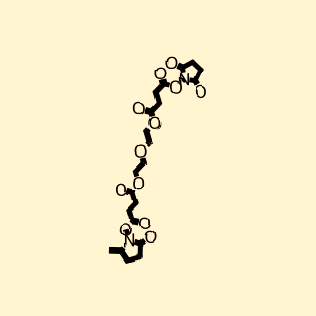 C=C1CCC(=O)N1OC(=O)CCC(=O)OCCOCCOC(=O)CCC(=O)ON1C(=O)CCC1=O